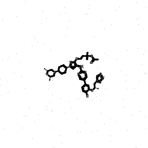 CC(=O)OC(C)(C)CCOc1nn([C@H]2CC[C@H](N3C[C@@H](C)O[C@@H](C)C3)CC2)cc1Nc1ncc(-c2ccc(Cl)c(O[C@@H](C)Cn3cnnn3)c2)cn1